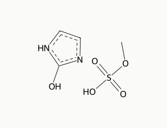 COS(=O)(=O)O.Oc1ncc[nH]1